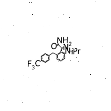 CC(C)n1nc(C(N)=O)c2c(Cc3ccc(C(F)(F)F)cc3)cccc21